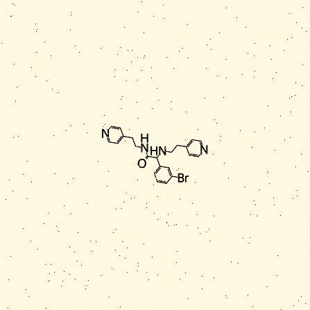 O=C(NCCc1ccncc1)C(NCCc1ccncc1)c1cccc(Br)c1